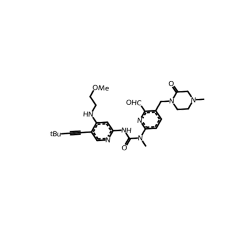 COCCNc1cc(NC(=O)N(C)c2ccc(CN3CCN(C)CC3=O)c(C=O)n2)ncc1C#CC(C)(C)C